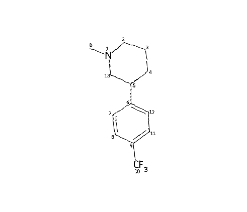 CN1CCCC(c2ccc(C(F)(F)F)cc2)C1